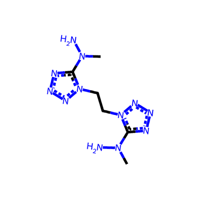 CN(N)c1nnnn1CCn1nnnc1N(C)N